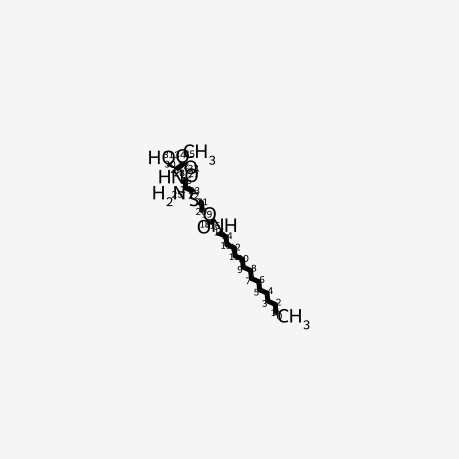 CCCCCCCCCCCCCCCCNC(=O)OCCSC[C@H](N)C(=O)N[C@@H](CO)C(=O)OC